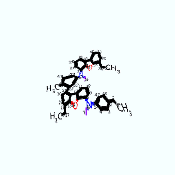 CCc1ccc(N(I)c2cccc3c2oc2c(CC)ccc(-c4cc(N(I)c5cccc6c5oc5c(CC)cccc56)ccc4C)c23)cc1